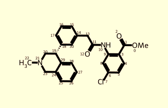 COC(=O)c1ccc(Cl)cc1NC(=O)Cc1cccc([C@H]2CN(C)Cc3ccccc32)c1